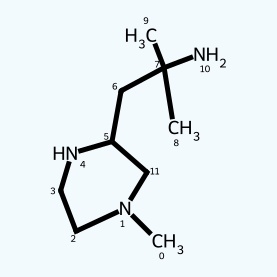 CN1CCNC(CC(C)(C)N)C1